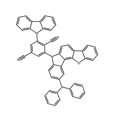 N#Cc1cc(-n2c3ccccc3c3ccccc32)c(C#N)c(-n2c3ccc(N(c4ccccc4)c4ccccc4)cc3c3c4oc5ccccc5c4ccc32)c1